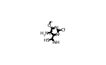 COc1nc(Cl)nc(C(=N)S)c1N